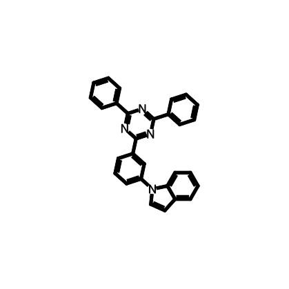 c1ccc(-c2nc(-c3ccccc3)nc(-c3cccc(-n4ccc5ccccc54)c3)n2)cc1